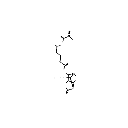 C=C(C)C(=O)OC(CC)CCCC(=O)OC1C2OC(=O)C3C2OC1C3C(=O)O